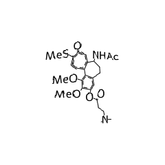 COc1c(OC(=O)CCN(C)C)cc2c(c1OC)-c1ccc(SC)c(=O)cc1C(NC(C)=O)CC2